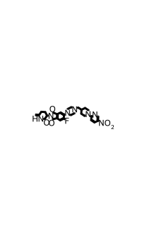 C=C1CCC(N2C(=O)c3cc(F)c(N4CCN(CC5CCN(c6ccc([N+](=O)[O-])cn6)CC5)CC4)cc3C2=O)C(=O)N1